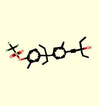 CCC(O)(C#Cc1ccc(C(CC)(CC)c2ccc(OS(=O)(=O)C(F)(F)F)c(C)c2)cc1C)CC